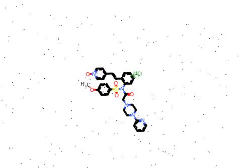 COc1ccc(S(=O)(=O)N(C(=O)CN2CCN(c3ccccn3)CC2)c2ccccc2/C=C/c2cc[n+]([O-])cc2)cc1.Cl.Cl